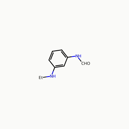 CCNc1cccc(NC=O)c1